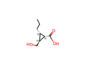 CCC[C@H]1[C@H](CO)[C@H]1C(=O)O